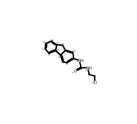 O=C(NCCCl)Nc1ccc2c(c1)Cc1ccccc1-2